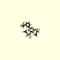 CC(Nc1nc(NC(C)C2CC2)nc(-c2cccc(C(F)(F)F)n2)n1)C1CC1